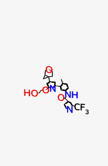 Cc1ccc(NC(=O)c2ccnc(C(F)(F)F)c2)cc1-c1cc(C23CCOCC2C3)cc(OCCO)n1